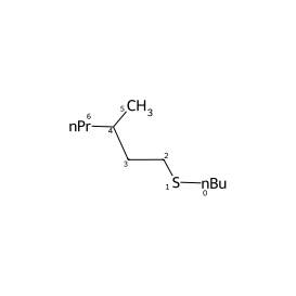 CCCCSCCC(C)CCC